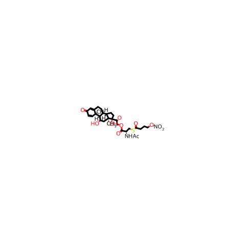 CC(=O)N[C@@H](CSC(=O)CCCO[N+](=O)[O-])C(=O)OCC(=O)[C@@]1(O)CC[C@H]2[C@@H]3CCC4=CC(=O)C=C[C@]4(C)[C@H]3C(O)C[C@@]21C